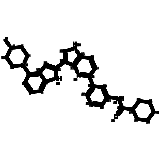 CN1CCN(c2cccc3[nH]c(-c4n[nH]c5ccc(-c6cncc(NC(=O)C7CCCCC7)c6)nc45)cc23)CC1